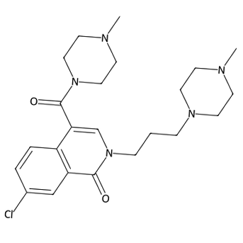 CN1CCN(CCCn2cc(C(=O)N3CCN(C)CC3)c3ccc(Cl)cc3c2=O)CC1